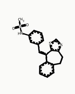 CS(=O)(=O)Nc1cccc(/C=C2/c3ccccc3CCc3ncsc32)c1